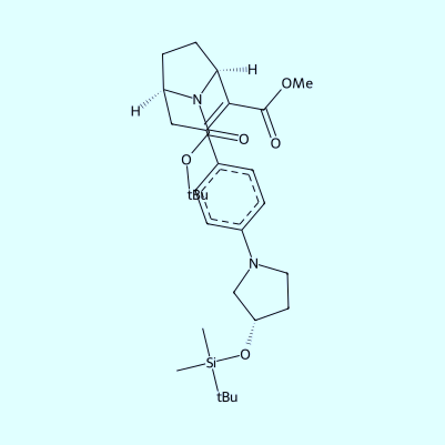 COC(=O)C1=C(c2ccc(N3CC[C@H](O[Si](C)(C)C(C)(C)C)C3)cc2)C[C@H]2CC[C@@H]1N2C(=O)OC(C)(C)C